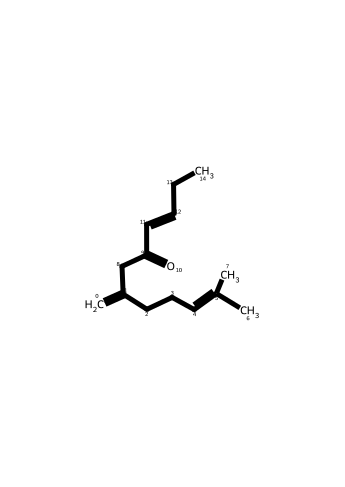 C=C(CCC=C(C)C)CC(=O)C=CCC